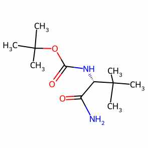 CC(C)(C)OC(=O)N[C@@H](C(N)=O)C(C)(C)C